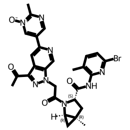 CC(=O)c1nn(CC(=O)N2[C@H](C(=O)Nc3nc(Br)ccc3C)C[C@@]3(C)C[C@@H]23)c2cnc(-c3cnc(C)[n+]([O-])c3)cc12